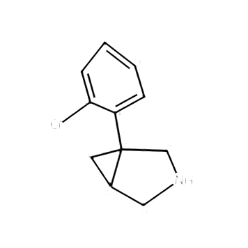 Clc1ccccc1C12CNCC1C2